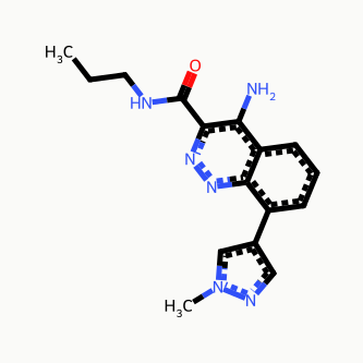 CCCNC(=O)c1nnc2c(-c3cnn(C)c3)cccc2c1N